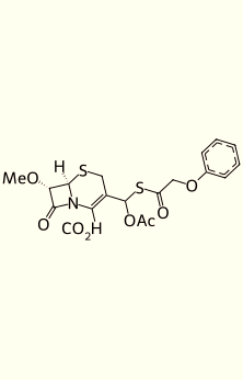 CO[C@H]1C(=O)N2C(C(=O)O)=C(C(OC(C)=O)SC(=O)COc3ccccc3)CS[C@H]12